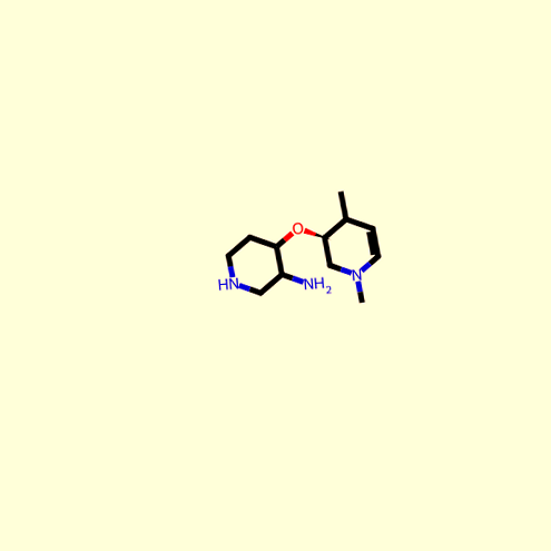 CC1C=CN(C)C[C@H]1OC1CCNCC1N